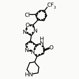 O=c1cc(C2CCNCC2)n2ncc(-c3noc(-c4ccc(C(F)(F)F)cc4Cl)n3)c2[nH]1